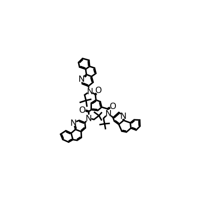 CC(C)(C)CN(C(=O)c1cc(C(=O)N(CC(C)(C)C)c2cnc3c(ccc4ccccc43)c2)cc(C(=O)N(CC(C)(C)C)c2cnc3c(ccc4ccccc43)c2)c1)c1cnc2c(ccc3ccccc32)c1